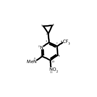 CNc1nc(C2CC2)c(C(F)(F)F)cc1[N+](=O)[O-]